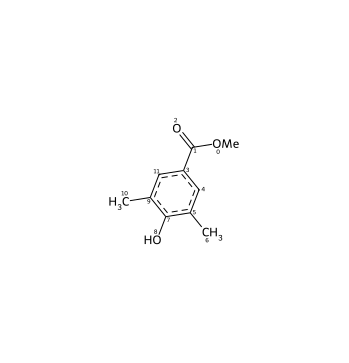 COC(=O)c1cc(C)c(O)c(C)c1